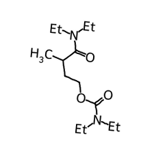 CCN(CC)C(=O)OCCC(C)C(=O)N(CC)CC